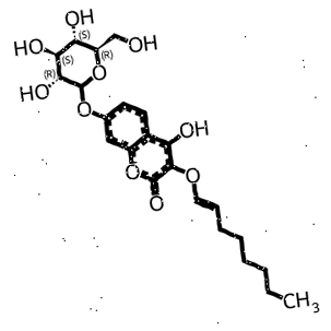 CCCCCCC=COc1c(O)c2ccc(OC3O[C@H](CO)[C@@H](O)[C@H](O)[C@H]3O)cc2oc1=O